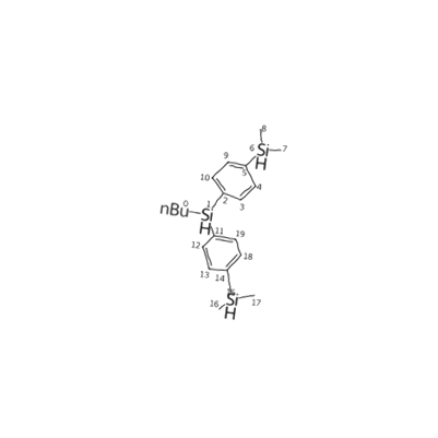 CCCC[SiH](c1ccc([SiH](C)C)cc1)c1ccc([SiH](C)C)cc1